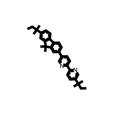 CCC(C)(C)c1ccc(-c2ccc(-c3ccc4c(c3)C(C)(C)c3cc(C(C)(C)CC)ccc3-4)cn2)nc1